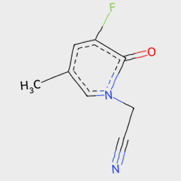 Cc1cc(F)c(=O)n(CC#N)c1